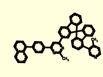 Cc1nc(-c2ccc(-c3cccc4ccccc34)cc2)cc(-c2ccc3c(c2)C2(c4ccccc4-3)c3ccccc3-c3c(-c4cnccc4C)cccc32)n1